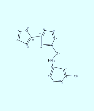 Clc1cccc(NOc2cccc(-c3ncco3)c2)c1